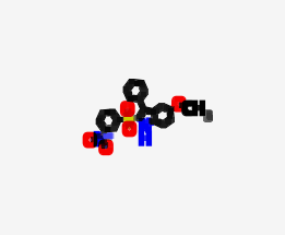 COc1ccc2[nH]c(S(=O)(=O)c3cccc([N+](=O)[O-])c3)c(-c3ccccc3)c2c1